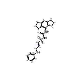 O=C(Nc1c2c(cc3c1CCC3)CCC2)NS(=O)(=O)/C=C/CNc1ccccc1